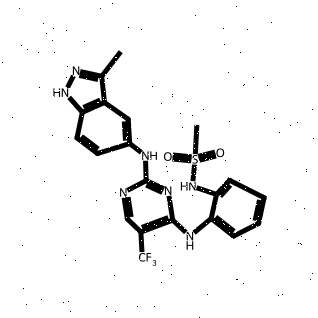 Cc1n[nH]c2ccc(Nc3ncc(C(F)(F)F)c(Nc4ccccc4NS(C)(=O)=O)n3)cc12